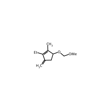 C=C1CC(OCOC)C(C)=C1CC